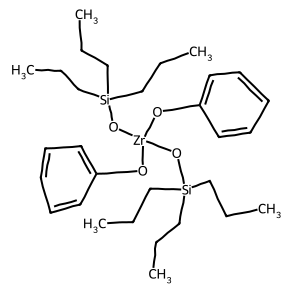 CCC[Si](CCC)(CCC)[O][Zr]([O]c1ccccc1)([O]c1ccccc1)[O][Si](CCC)(CCC)CCC